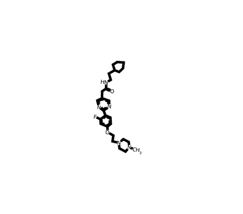 CN1CCN(CCOc2ccc(-c3ncc(CC(=O)NCCC4CCCCC4)cn3)c(F)c2)CC1